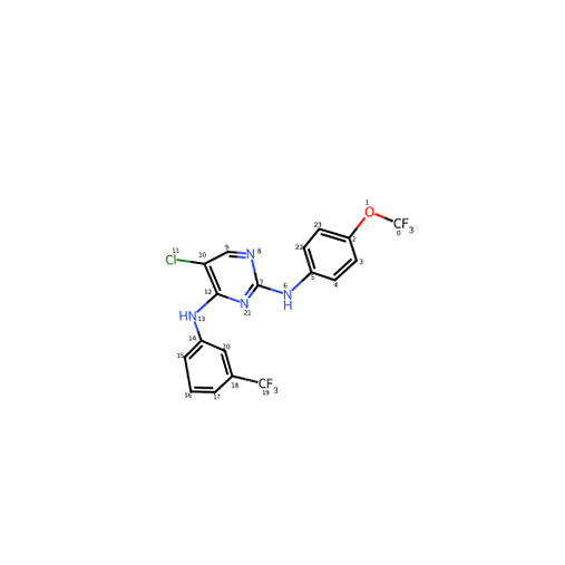 FC(F)(F)Oc1ccc(Nc2ncc(Cl)c(Nc3cccc(C(F)(F)F)c3)n2)cc1